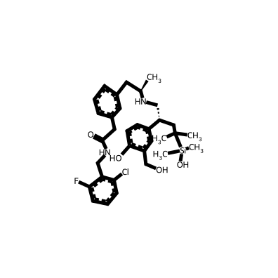 C[C@H](Cc1cccc(CC(=O)NCc2c(F)cccc2Cl)c1)NC[C@H](CC(C)(C)[Si](C)(C)O)c1ccc(O)c(CO)c1